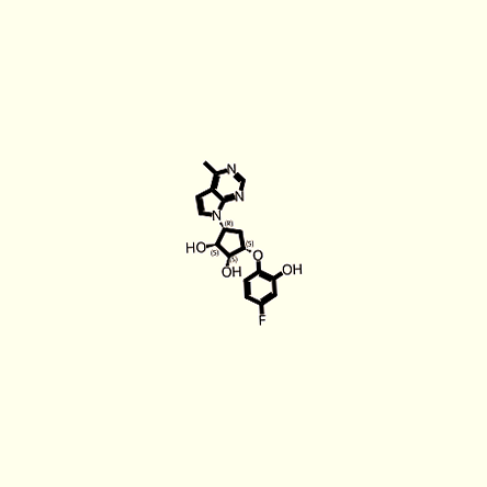 Cc1ncnc2c1ccn2[C@@H]1C[C@H](Oc2ccc(F)cc2O)[C@@H](O)[C@H]1O